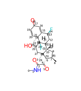 CNC(=O)C(=O)[C@H]1[C@H](C)C[C@H]2[C@@H]3C[C@H](F)C4=CC(=O)C=C[C@]4(C)[C@@]3(F)[C@@H](O)C[C@@]21C